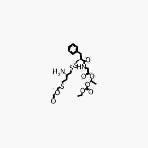 CCOC(=O)OC(C)OC(=O)CNC(=O)[C@@H](CSSC[C@@H](N)CCSCOC=O)Cc1ccccc1